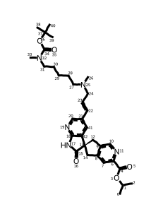 CC(C)OC(=O)c1cc2c(cn1)C[C@@]1(C2)C(=O)Nc2ncc(/C=C/CN(C)CCCCCN(C)C(=O)OC(C)(C)C)cc21